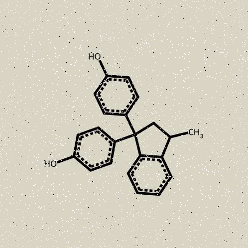 CC1CC(c2ccc(O)cc2)(c2ccc(O)cc2)c2ccccc21